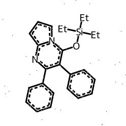 CC[Si](CC)(CC)Oc1c(-c2ccccc2)c(-c2ccccc2)nc2cccn12